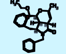 CCOC(=O)[C@H]1OC(C)=C[C@@H]2C(=O)N(Cc3ccccc3)[C@@H](Cc3ccccc3)[C@@H]21